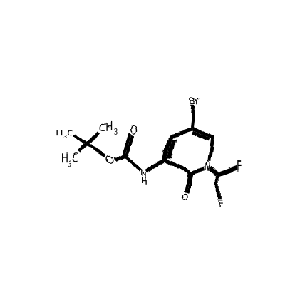 CC(C)(C)OC(=O)Nc1cc(Br)cn(C(F)F)c1=O